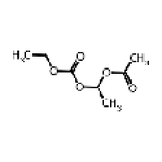 CCOC(=O)O[C@H](C)OC(C)=O